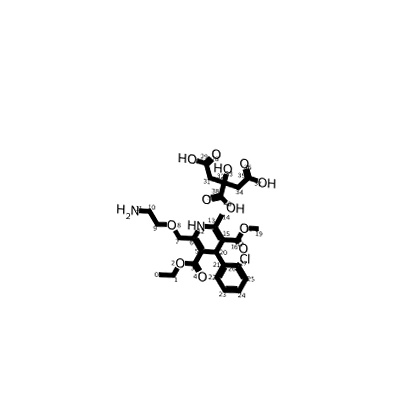 CCOC(=O)C1=C(COCCN)NC(C)=C(C(=O)OC)C1c1ccccc1Cl.O=C(O)CC(O)(CC(=O)O)C(=O)O